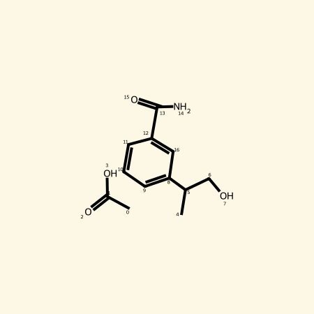 CC(=O)O.CC(CO)c1cccc(C(N)=O)c1